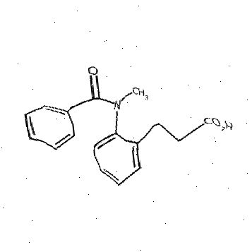 CN(C(=O)c1ccccc1)c1ccccc1CCC(=O)O